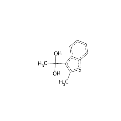 Cc1sc2ccccc2c1C(C)(O)O